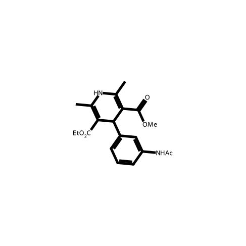 CCOC(=O)C1=C(C)NC(C)=C(C(=O)OC)C1c1cccc(NC(C)=O)c1